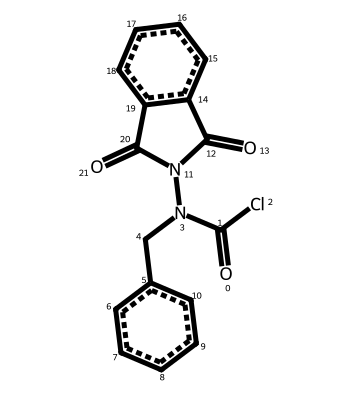 O=C(Cl)N(Cc1ccccc1)N1C(=O)c2ccccc2C1=O